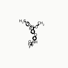 C=CCOc1nc(N2CCN(C)CC2)nc2ccc(Oc3ccc(NC(=O)C(F)(F)F)cc3)cc12